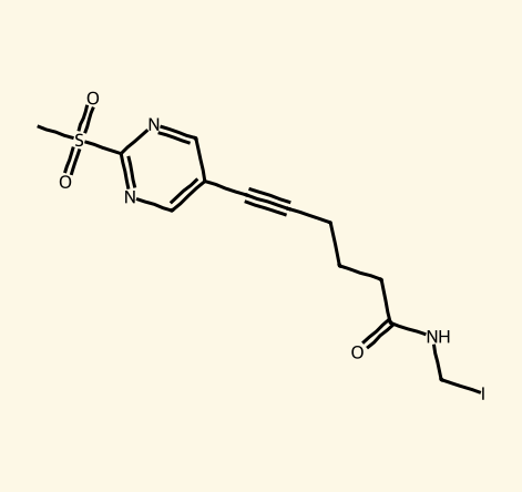 CS(=O)(=O)c1ncc(C#CCCCC(=O)NCI)cn1